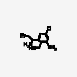 CC(C)CC(N)c1cc(Cl)cc(N)c1C=N